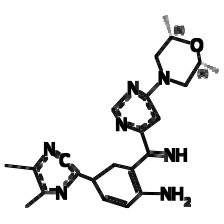 Cc1ncc(C2C=CC(N)=C(C(=N)c3cc(N4C[C@@H](C)O[C@@H](C)C4)ncn3)C2)nc1C